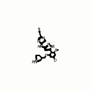 COc1cc(Cl)cc(OCC2CCCNC2)c1-c1cc(Nc2cnc(C#N)cn2)n[nH]1